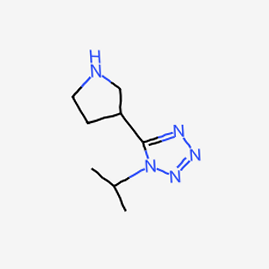 CC(C)n1nnnc1C1CCNC1